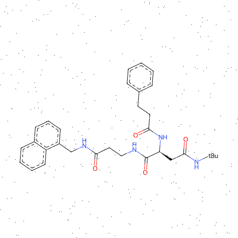 CC(C)(C)NC(=O)C[C@H](NC(=O)CCc1ccccc1)C(=O)NCCC(=O)NCc1cccc2ccccc12